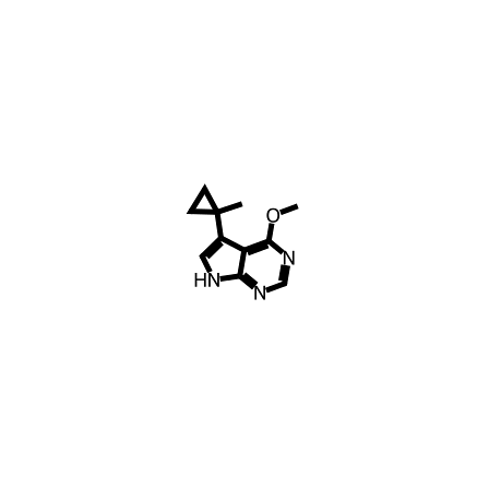 COc1ncnc2[nH]cc(C3(C)CC3)c12